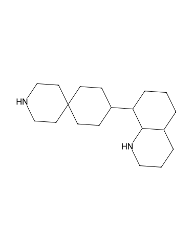 C1CNC2C(C1)CCCC2C1CCC2(CCNCC2)CC1